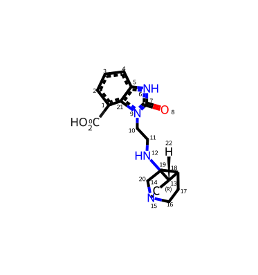 O=C(O)c1cccc2[nH]c(=O)n(CCN[C@H]3CN4CCC3CC4)c12